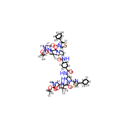 C[C@@H](C(=O)N[C@H](C(=O)N1C[C@@H](NC(=O)c2ccc(C(=O)N[C@H]3C[C@@H](c4nc(-c5ccccc5)cs4)N(C(=O)[C@@H](NC(=O)CN(C)C(=O)OC(C)(C)C)C(C)(C)C)C3)cc2)C[C@H]1c1nc(-c2ccccc2)cs1)C(C)(C)C)N(C)C(=O)OC(C)(C)C